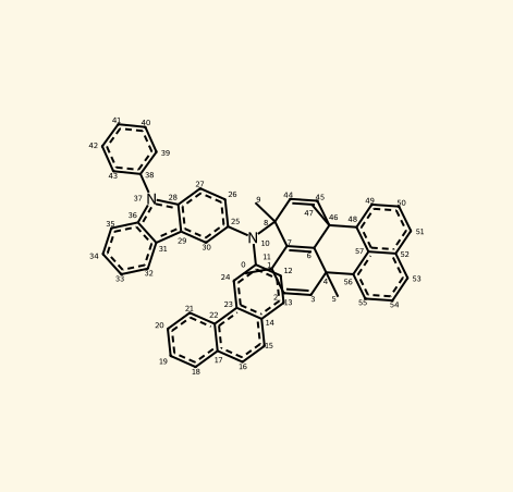 CC1C=CC2(C)C3=C1C(C)(N(c1ccc4ccc5ccccc5c4c1)c1ccc4c(c1)c1ccccc1n4-c1ccccc1)C=CC3(C)c1cccc3cccc2c13